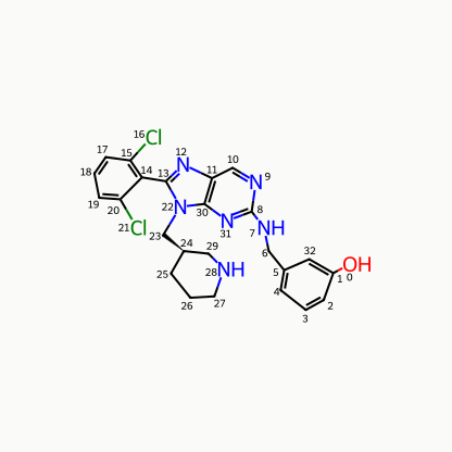 Oc1cccc(CNc2ncc3nc(-c4c(Cl)cccc4Cl)n(C[C@@H]4CCCNC4)c3n2)c1